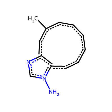 Cc1ccccccc2c(c1)ncn2N